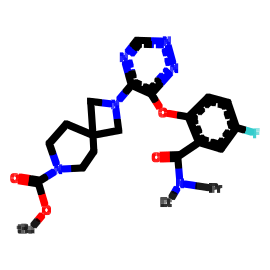 CCN(C(=O)c1cc(F)ccc1Oc1nncnc1N1CC2(CCN(C(=O)OC(C)(C)C)CC2)C1)C(C)C